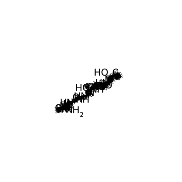 Cc1c(NC(=O)c2ccc(CNCCNC(=O)CCCNc3nc(N)n4nc(-c5ccco5)nc4n3)cn2)cccc1-c1cccc(NC(=O)c2ccc(CN3CCCC[C@H]3C(=O)O)cn2)c1C.O=CO